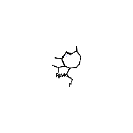 CCCC(CF)C1CCCC(C)/C=C/C(C)C1C(C)NC